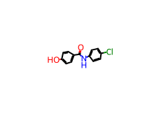 O=C(Nc1ccc(Cl)cc1)c1ccc(O)cc1